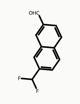 O=Cc1ccc2ccc(C(F)F)cc2c1